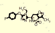 CCn1c(Oc2ccc(F)cc2)nnc1[C@H]1Cc2onc(C)c2S(=O)(=O)N1